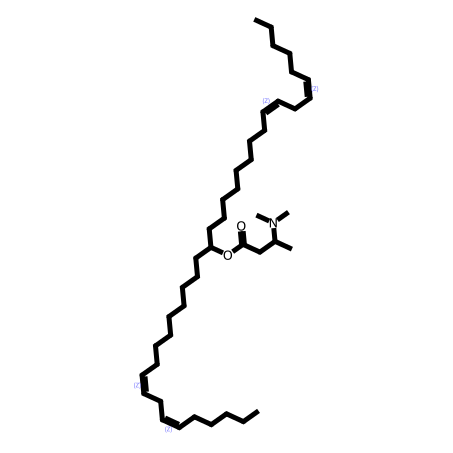 CCCCC/C=C\C/C=C\CCCCCCCCC(CCCCCCCC/C=C\C/C=C\CCCCC)OC(=O)CC(C)N(C)C